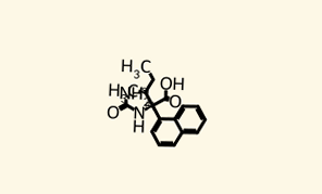 CC[C@H](C)[C@](NC(N)=O)(C(=O)O)c1cccc2ccccc12